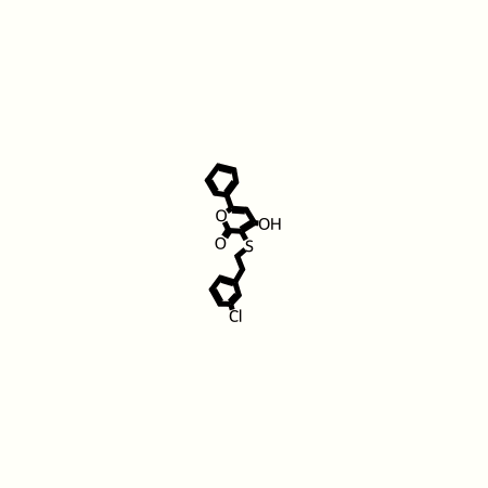 O=c1oc(-c2ccccc2)cc(O)c1SCCc1cccc(Cl)c1